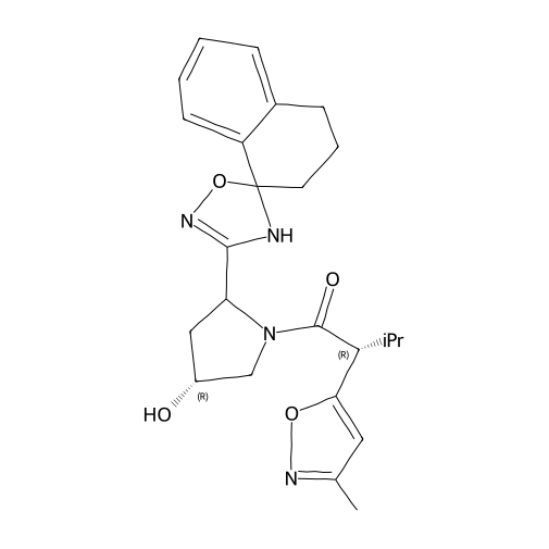 Cc1cc([C@H](C(=O)N2C[C@H](O)CC2C2=NOC3(CCCc4ccccc43)N2)C(C)C)on1